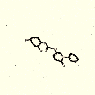 O=C(Cc1ccc(F)cc1Br)Nc1ccc(=O)n(-c2ccccc2)c1